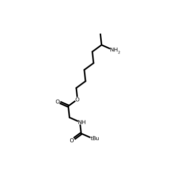 CC(N)CCCCCOC(=O)CNC(=O)C(C)(C)C